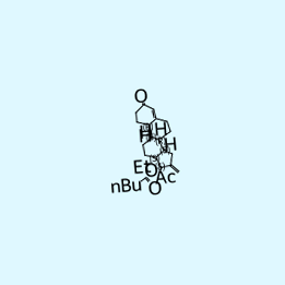 C=C1C[C@H]2[C@@H]3CCC4=CC(=O)CC[C@@H]4[C@H]3CC[C@]2(CC)[C@]1(OC(=O)CCCC)C(C)=O